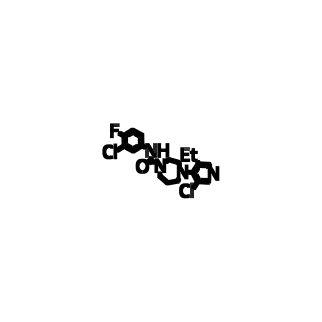 CCc1cncc(Cl)c1N1CCCN(C(=O)Nc2ccc(F)c(Cl)c2)CC1